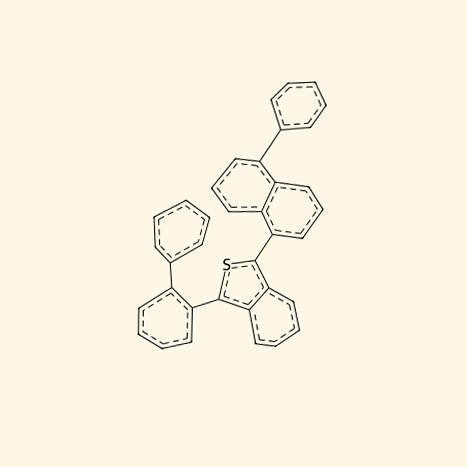 c1ccc(-c2ccccc2-c2sc(-c3cccc4c(-c5ccccc5)cccc34)c3ccccc23)cc1